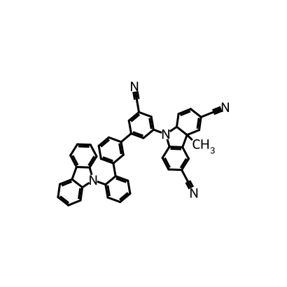 CC12C=C(C#N)C=CC1N(c1cc(C#N)cc(-c3cccc(-c4ccccc4-n4c5ccccc5c5ccccc54)c3)c1)c1ccc(C#N)cc12